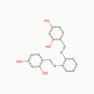 Oc1ccc(C=Nc2ccccc2N=Cc2ccc(O)cc2O)c(O)c1